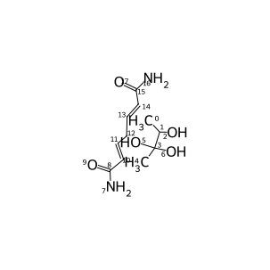 CC(O)C(C)(O)O.NC(=O)C=CCC=CC(N)=O